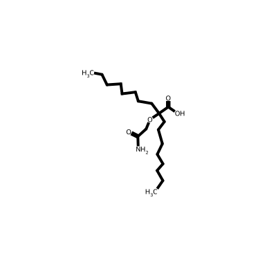 CCCCCCCCC(CCCCCCCC)(OCC(N)=O)C(=O)O